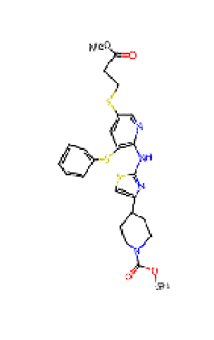 COC(=O)CCSc1cnc(Nc2nc(C3CCN(C(=O)OC(C)(C)C)CC3)cs2)c(Sc2ccccc2)c1